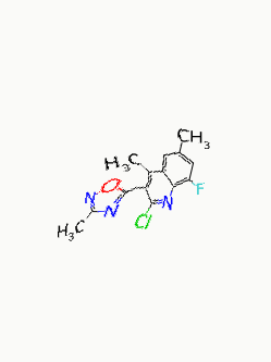 Cc1cc(F)c2nc(Cl)c(-c3nc(C)no3)c(C)c2c1